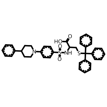 O=C(O)C(CSC(c1ccccc1)(c1ccccc1)c1ccccc1)NS(=O)(=O)c1ccc(N2CCC(c3ccccc3)CC2)cc1